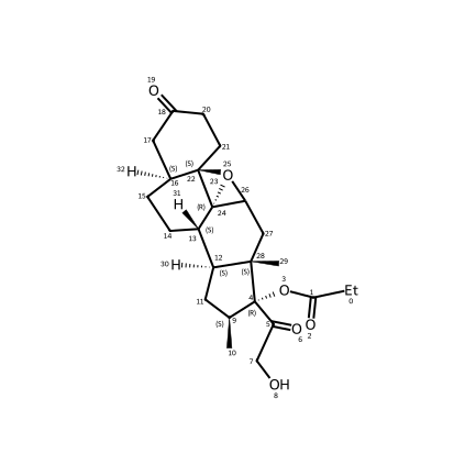 CCC(=O)O[C@]1(C(=O)CO)[C@@H](C)C[C@H]2[C@@H]3CC[C@H]4CC(=O)CC[C@]4(C)[C@]34OC4C[C@@]21C